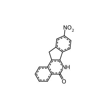 O=c1[nH]c2c(c3ccccc13)Cc1cc([N+](=O)[O-])ccc1-2